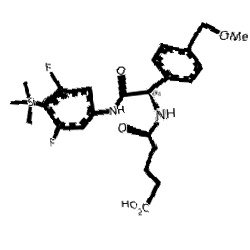 COCc1ccc([C@@H](NC(=O)CCCC(=O)O)C(=O)Nc2cc(F)c([Si](C)(C)C)c(F)c2)cc1